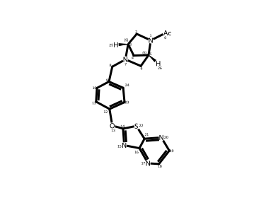 CC(=O)N1C[C@@H]2C[C@H]1CN2Cc1ccc(Oc2nc3nccnc3s2)cc1